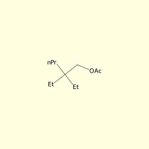 CCCC(CC)(CC)COC(C)=O